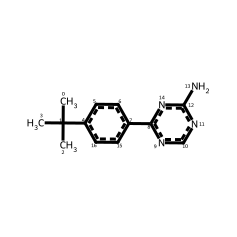 CC(C)(C)c1ccc(-c2ncnc(N)n2)cc1